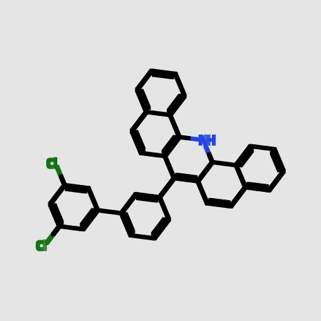 Clc1cc(Cl)cc(-c2cccc(C3=C4C=Cc5ccccc5C4Nc4c3ccc3ccccc43)c2)c1